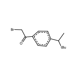 C[C](c1ccc(C(=O)CBr)cc1)C(C)(C)C